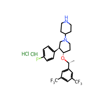 C[C@@H](O[C@H]1CCN(C2CCNCC2)C[C@@H]1c1ccc(F)cc1)c1cc(C(F)(F)F)cc(C(F)(F)F)c1.Cl.Cl